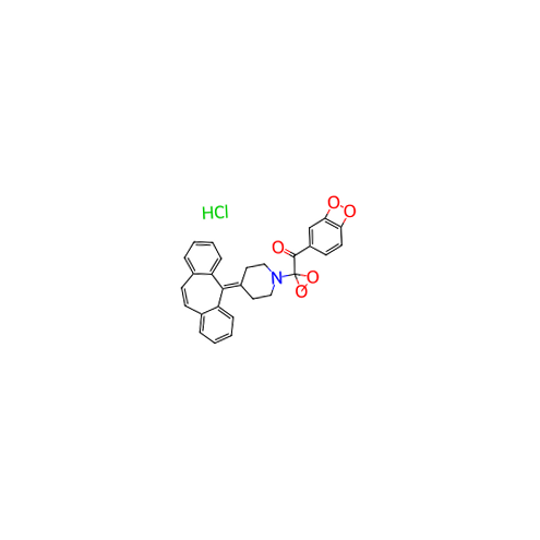 Cl.O=C(c1ccc2ooc2c1)C1(N2CCC(=C3c4ccccc4C=Cc4ccccc43)CC2)OO1